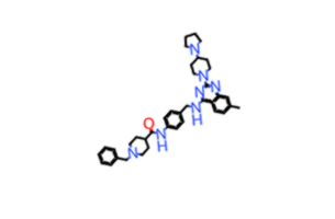 Cc1ccc2c(NCc3ccc(NC(=O)C4CCN(Cc5ccccc5)CC4)cc3)nc(N3CCC(N4CCCC4)CC3)nc2c1